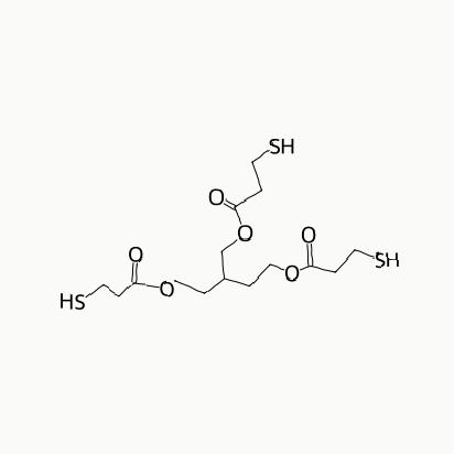 O=C(CCS)OCCC(CCOC(=O)CCS)COC(=O)CCS